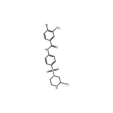 Cc1cc(C(=O)Nc2ccc(S(=O)(=O)N3CCNC(C)C3)cc2)ccc1Br